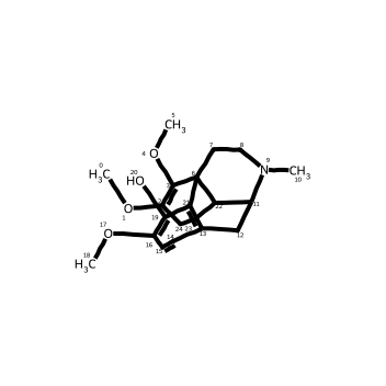 COC1=C(OC)C23CCN(C)C(Cc4ccc(OC)c(O)c42)C3CC1